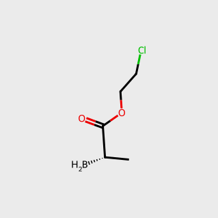 B[C@@H](C)C(=O)OCCCl